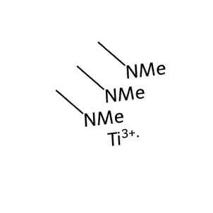 C[N-]C.C[N-]C.C[N-]C.[Ti+3]